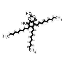 CCCCCCCCCc1c(O)c(OC(=O)O)c(Br)c(CCCCCCCCC)c1CCCCCCCCC